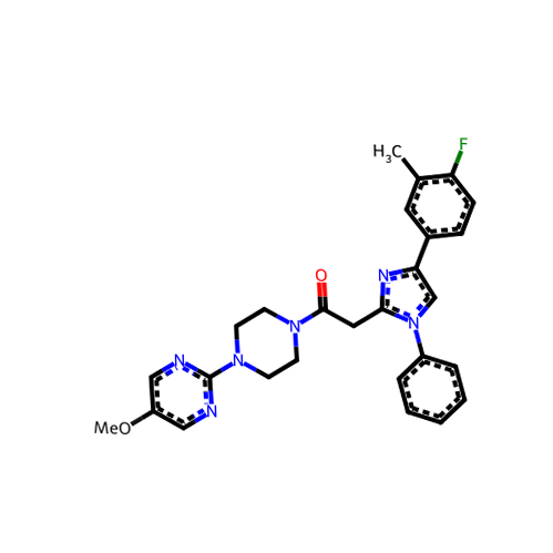 COc1cnc(N2CCN(C(=O)Cc3nc(-c4ccc(F)c(C)c4)cn3-c3ccccc3)CC2)nc1